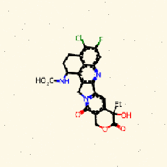 CC[C@@]1(O)C(=O)OCc2c1cc1n(c2=O)Cc2c-1nc1cc(F)c(Cl)c3c1c2C(NC(=O)O)CC3